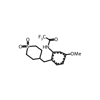 COc1ccc(CC2CCS(=O)(=O)CC2)c(NC(=O)C(F)(F)F)c1